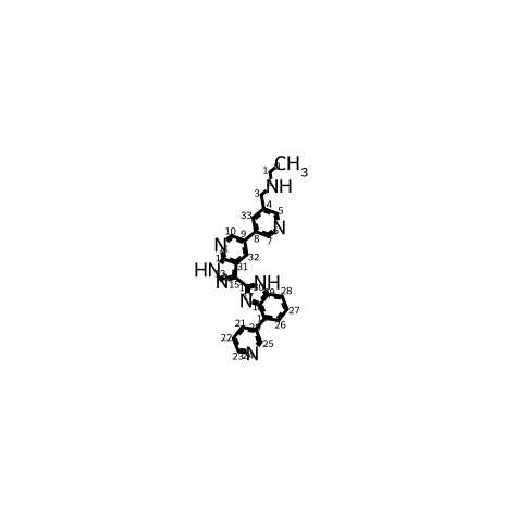 CCNCc1cncc(-c2cnc3[nH]nc(-c4nc5c(-c6cccnc6)cccc5[nH]4)c3c2)c1